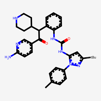 Cc1ccc(-n2nc(C(C)(C)C)cc2NC(=O)Nc2ccccc2C(C(=O)c2ccc(N)nc2)C2CCNCC2)cc1